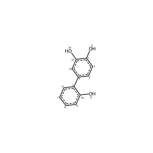 Oc1ccc(-c2c[c]ccc2O)cc1O